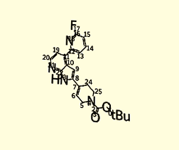 CC(C)(C)OC(=O)N1CC=C(c2cc3c(-c4cccc(F)n4)ccnc3[nH]2)CC1